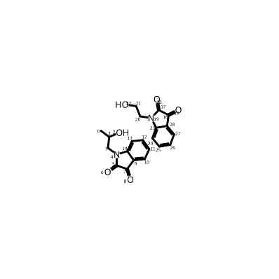 CC(O)CN1C(=O)C(=O)c2ccccc21.O=C1C(=O)N(CCO)c2ccccc21